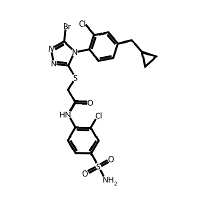 NS(=O)(=O)c1ccc(NC(=O)CSc2nnc(Br)n2-c2ccc(CC3CC3)cc2Cl)c(Cl)c1